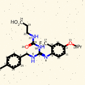 Cc1ccc(CN/C(=N/c2ccc(OC(C)C)cc2C(F)(F)F)NC(=O)NCCC(=O)O)cc1